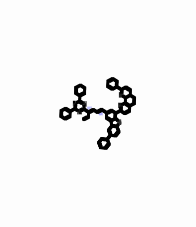 C=C/C(=C\C=C\c1cc(-c2ccc3c(n2)C2N=C(c4ccccc4)C=CC2C=C3)c2sc3ccc(-c4ccccc4)cc3c2c1)c1nc(C2=CCCC=C2)nc(-c2ccccc2)n1